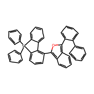 c1ccc(-c2ccccc2-c2oc(-c3cccc4c3-c3ccccc3[Si]4(c3ccccc3)c3ccccc3)c3ccccc23)cc1